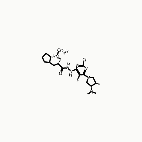 C[C@@H]1CN(c2nc(Cl)nc(NNC(=O)[C@@H](CNC(=O)O)CC3CCCC3)c2F)C[C@@H]1N(C)C